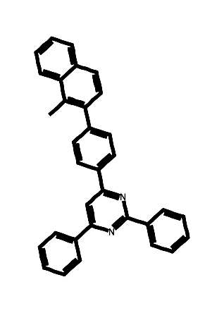 Cc1c(-c2ccc(-c3cc(-c4ccccc4)nc(-c4ccccc4)n3)cc2)ccc2ccccc12